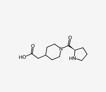 O=C(O)CC1CCN(C(=O)[C@H]2CCCN2)CC1